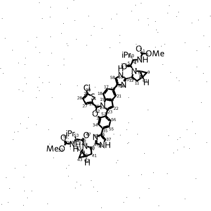 COC(=O)N[C@H](C(=O)N1C2C[C@@H]2C[C@H]1c1nc(-c2ccc3c(c2)cc2n3C(c3ccc(Cl)s3)Oc3cc(-c4c[nH]c([C@@H]5C[C@H]6C[C@H]6N5C(=O)[C@@H](NC(=O)OC)C(C)C)n4)ccc3-2)c[nH]1)C(C)C